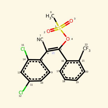 CS(=O)(=O)O/C(=C(\C#N)c1ccc(Cl)cc1Cl)c1ccccc1C(F)(F)F